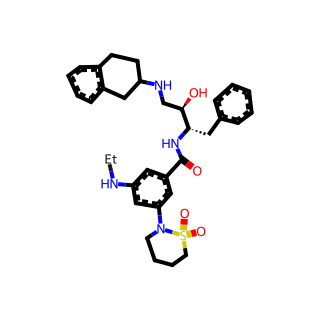 CCNc1cc(C(=O)N[C@@H](Cc2ccccc2)[C@H](O)CNC2CCc3ccccc3C2)cc(N2CCCCS2(=O)=O)c1